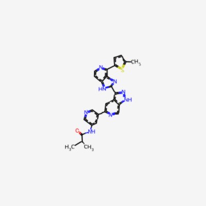 Cc1ccc(-c2nccc3[nH]c(-c4n[nH]c5cnc(-c6cncc(NC(=O)C(C)C)c6)cc45)nc23)s1